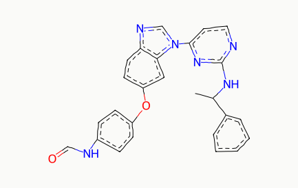 CC(Nc1nccc(-n2cnc3ccc(Oc4ccc(NC=O)cc4)cc32)n1)c1ccccc1